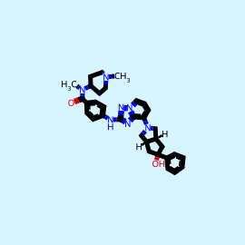 CN1CCC(N(C)C(=O)c2ccc(Nc3nc4c(N5C[C@@H]6CC(O)(c7ccccc7)C[C@@H]6C5)cccn4n3)cc2)CC1